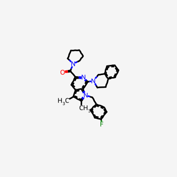 Cc1c(C)n(Cc2ccc(F)cc2)c2c(N3CCc4ccccc4C3)nc(C(=O)N3CCCCC3)cc12